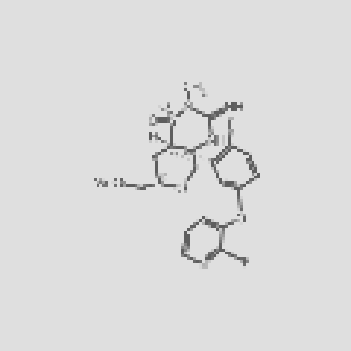 COC[C@H]1C[C@@H]2[C@](c3cc(Oc4cccnc4F)ccc3F)(CO1)NC(=N)N(C)S2(=O)=O